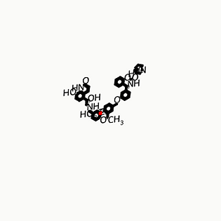 CC(Oc1ccc(CNC[C@H](O)c2ccc(O)c3[nH]c(=O)ccc23)cc1Cl)c1cc(COc2cccc([C@@H](NC(=O)O[C@H]3CN4CCC3CC4)c3ccccc3)c2)ccc1C(=O)O